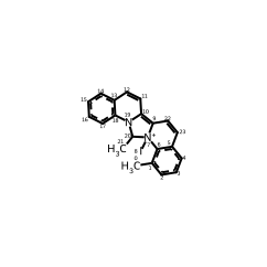 Cc1cccc2c1[N+]1(I)C(=C3C=Cc4ccccc4N3C1C)C=C2